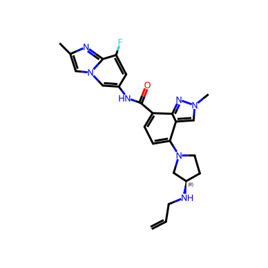 C=CCN[C@@H]1CCN(c2ccc(C(=O)Nc3cc(F)c4nc(C)cn4c3)c3nn(C)cc23)C1